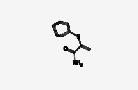 C=C(Sc1ccccc1)C(N)=O